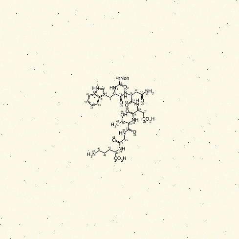 CCCCCCCCCC(=O)NC(Cc1c[nH]c2ccccc12)C(=O)NC(CC(N)=O)C(=O)NC(CC(=O)O)C(=O)NC(C(=O)NCC(=O)NC(CCCN)C(=O)O)C(C)O